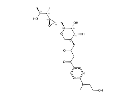 C[C@H]([C@@H]1O[C@H]1C[C@@H]1OC[C@H](CC(=O)CC(=O)c2ccc(N(C)CCO)nc2)[C@@H](O)[C@H]1O)[C@H](C)O